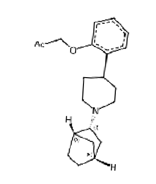 CC(=O)COc1ccccc1C1CCN([C@@H]2C[C@@H]3CC[C@H]2C3)CC1